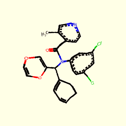 Cc1cnccc1C(=O)N(c1cc(Cl)cc(Cl)c1)C(C1=CC=CCC1)C1=COC=CO1